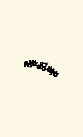 Cc1cccc(-c2nc3ncc(-c4ccc5c(c4)C(C(F)(F)F)(C(F)(F)F)c4cc(-c6cnc7nc(-c8cccc(C)n8)sc7c6)ccc4-5)cc3s2)n1